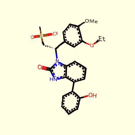 CCOc1cc([C@@H](CS(C)(=O)=O)n2c(=O)[nH]c3c(-c4ccccc4O)cccc32)ccc1OC